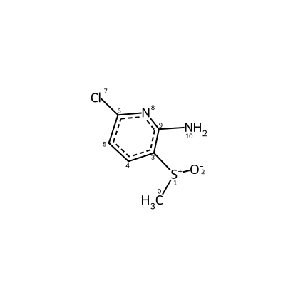 C[S+]([O-])c1ccc(Cl)nc1N